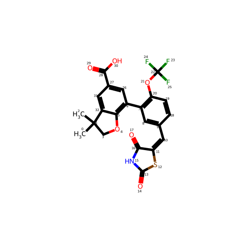 CC1(C)COc2c(-c3cc(C=C4SC(=O)NC4=O)ccc3OC(F)(F)F)cc(C(=O)O)cc21